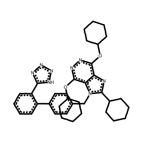 c1ccc(-c2nnn[nH]2)c(-c2ccc(Cn3c(C4CCCCC4)nc4c(OC5CCCCC5)nnc(OC5CCCCC5)c43)cc2)c1